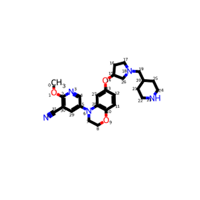 COc1ncc(N2CCOc3ccc(OC4CCN(CC5CCNCC5)C4)cc32)cc1C#N